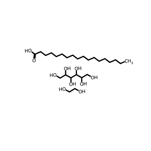 CCCCCCCCCCCCCCCCCC(=O)O.OCC(O)C(O)C(O)C(O)CO.OCCO